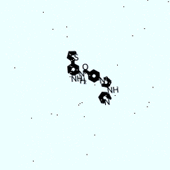 Nc1ccc(-c2cccs2)cc1NC(=O)c1ccc(N2CCC(Nc3cccnc3)C2)cc1